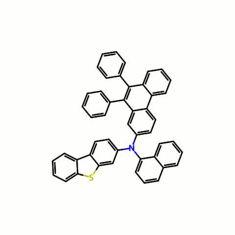 c1ccc(-c2c(-c3ccccc3)c3cc(N(c4ccc5c(c4)sc4ccccc45)c4cccc5ccccc45)ccc3c3ccccc23)cc1